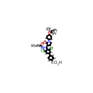 CC(C)[Si](O[C@H]1CC[C@H](N2CC[C@@H](Cc3c(Cl)cc(-c4ccc(C(=O)O)cc4)cc3Cl)C2=O)CC1)(C(C)C)C(C)C.CNC(N)=O